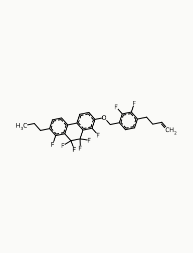 C=CCCc1ccc(COc2ccc3c(c2F)C(F)(F)C(F)(F)c2c-3ccc(CCC)c2F)c(F)c1F